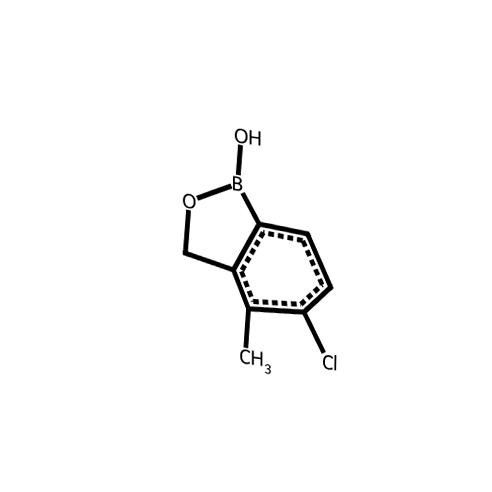 Cc1c(Cl)ccc2c1COB2O